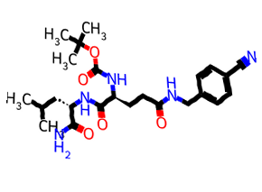 CC(C)C[C@H](NC(=O)[C@H](CCC(=O)NCc1ccc(C#N)cc1)NC(=O)OC(C)(C)C)C(N)=O